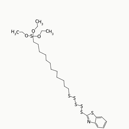 CCO[Si](CCCCCCCCCCCCSSSSSc1nc2ccccc2s1)(OCC)OCC